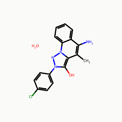 CC1=C(N)c2ccccc2N2[N]N(c3ccc(Cl)cc3)C(O)=C12.O